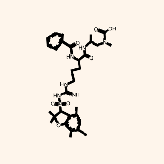 Cc1cc(C)c2c(c1C)OC(C)(C)C2S(=O)(=O)NC(=N)NCCCC(NC(=O)c1ccccc1)C(=O)NC(C)CN(C)C(=O)O